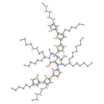 CCCCCCCCC(CCCCCC)CN1C(=O)/C(=C(\c2ccc(-c3cc(CCCCCC)c(-c4cc(CCCCCC)cs4)s3)s2)N(C)CC(CCCCCC)CCCCCCCC)C(C=O)=C1c1ccc(-c2cc(CCCCCC)c(-c3cc(CCCCCC)cs3)s2)s1